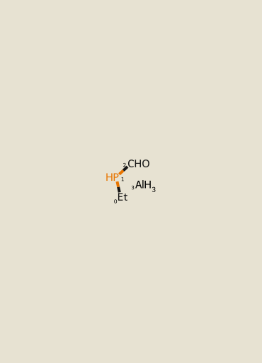 CCPC=O.[AlH3]